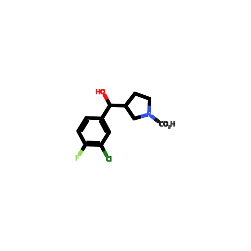 O=C(O)N1CCC(C(O)c2ccc(F)c(Cl)c2)C1